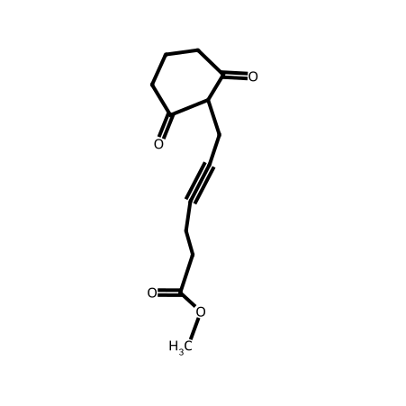 COC(=O)CCC#CCC1C(=O)CCCC1=O